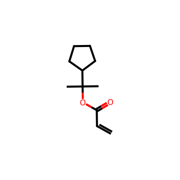 C=CC(=O)OC(C)(C)C1CCCC1